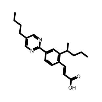 CCCCc1cnc(-c2ccc(/C=C/C(=O)O)c(C(C)CCC)c2)nc1